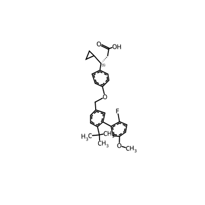 COc1ccc(F)c(-c2cc(COc3ccc([C@@H](CC(=O)O)C4CC4)cc3)ccc2C(C)(C)C)c1